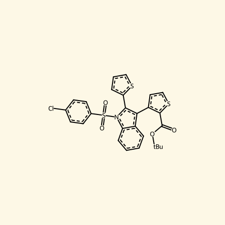 CC(C)(C)OC(=O)c1sccc1-c1c(-c2cccs2)n(S(=O)(=O)c2ccc(Cl)cc2)c2ccccc12